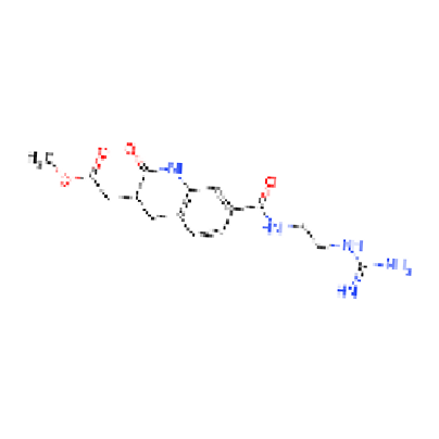 COC(=O)CC1Cc2ccc(C(=O)NCCNC(=N)N)cc2NC1=O